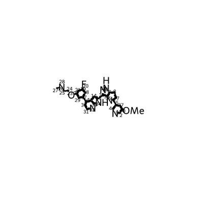 COc1cncc(-c2ccc3[nH]nc(-c4cc5c(-c6cc(F)cc(OCCN(C)C)c6)ccnc5[nH]4)c3n2)c1